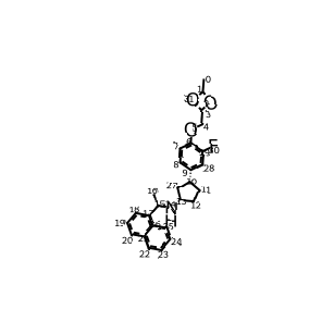 CC1OC(COc2ccc([C@@H]3CC[C@H](N[C@H](C)c4cccc5ccccc45)C3)cc2F)O1